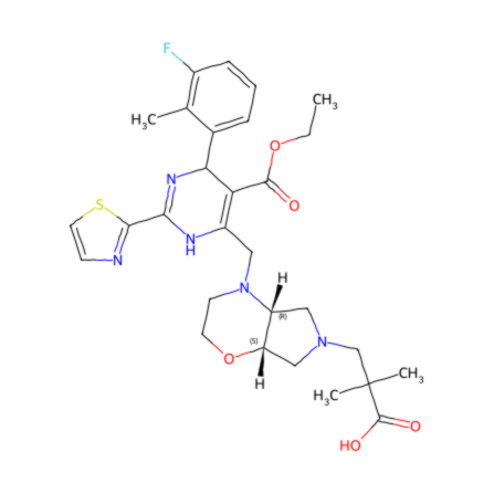 CCOC(=O)C1=C(CN2CCO[C@H]3CN(CC(C)(C)C(=O)O)C[C@H]32)NC(c2nccs2)=NC1c1cccc(F)c1C